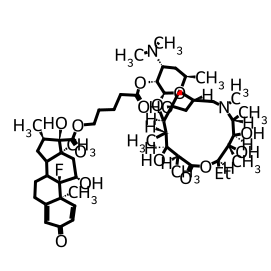 CC[C@H]1OC(=O)[C@H](C)[C@@H](O)[C@H](C)[C@@H](O[C@@H]2O[C@H](C)C[C@@H](N(C)C)[C@H]2OC(=O)CCCCOC(=O)[C@@]2(O)[C@H](C)CC3C4CCC5=CC(=O)C=C[C@]5(C)[C@@]4(F)[C@@H](O)C[C@@]32C)[C@]2(O)C[C@H](CN(C)[C@H](C)[C@@H](O)[C@]1(C)O)C2